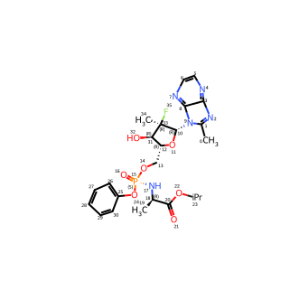 Cc1nc2nccnc2n1[C@@H]1O[C@H](CO[P@@](=O)(N[C@H](C)C(=O)OC(C)C)Oc2ccccc2)[C@@H](O)[C@@]1(C)F